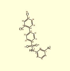 CC(=O)c1cccc(NS(=O)(=O)c2ccc(-c3ccc(Cl)cc3Cl)cc2)c1